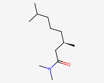 CC(C)CCC[C@@H](C)CC(=O)N(C)C